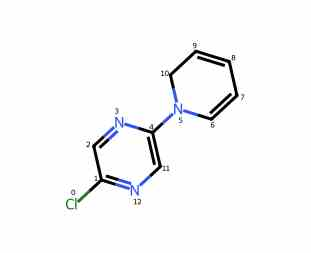 Clc1cnc(N2C=CC=CC2)cn1